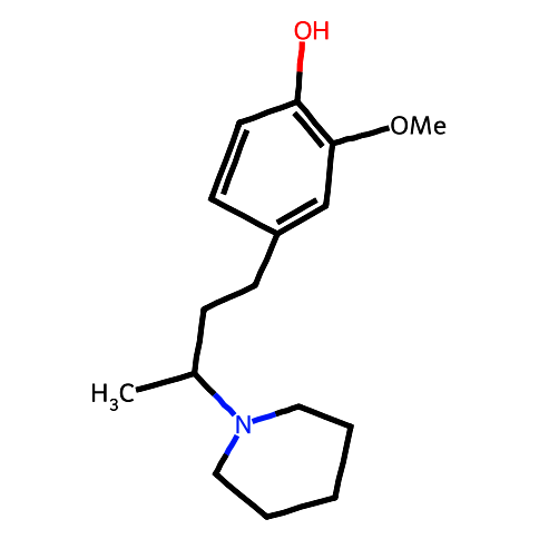 COc1cc(CCC(C)N2CCCCC2)ccc1O